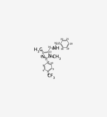 Cc1nc(-c2ccc(C(F)(F)F)cc2)n(C)c1CNCc1ccccc1